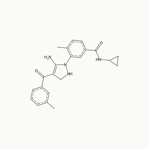 Cc1cccc(C(=O)C2=C(N)N(c3cc(C(=O)NC4CC4)ccc3C)NC2)c1